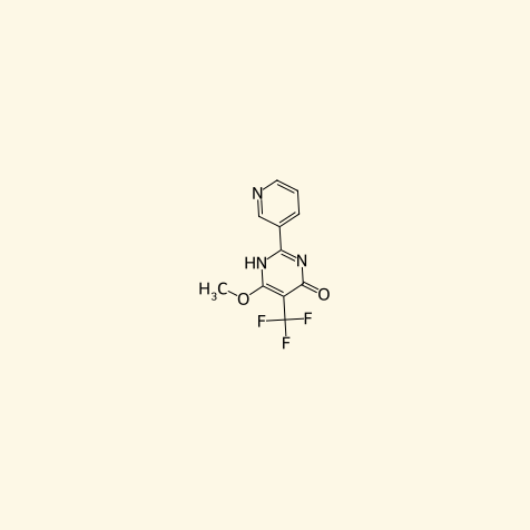 COc1[nH]c(-c2cccnc2)nc(=O)c1C(F)(F)F